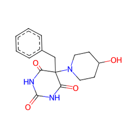 O=C1NC(=O)C(Cc2ccccc2)(N2CCC(O)CC2)C(=O)N1